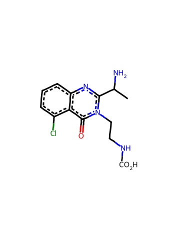 CC(N)c1nc2cccc(Cl)c2c(=O)n1CCNC(=O)O